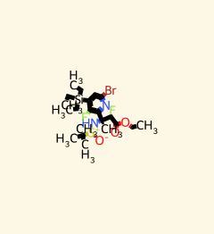 CCOC(=O)[C@H](F)[C@](C)(N[S@+]([O-])C(C)(C)C)c1nc(Br)cc([Si](CC)(CC)CC)c1F